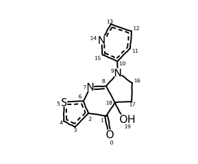 O=C1c2ccsc2N=C2N(c3cccnc3)CCC12O